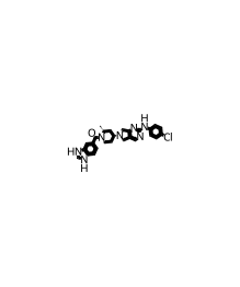 C[C@@H]1C[C@H](N2Cc3cnc(Nc4ccc(Cl)cc4)nc3C2)CCN1C(=O)c1ccc2c(c1)NCN2